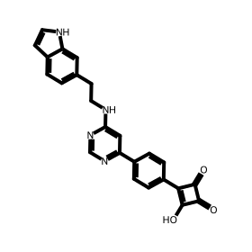 O=c1c(O)c(-c2ccc(-c3cc(NCCc4ccc5cc[nH]c5c4)ncn3)cc2)c1=O